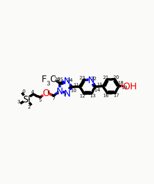 C[Si](C)(C)CCOCn1nc(-c2ccc(-c3ccc(O)cc3)nc2)nc1C(F)(F)F